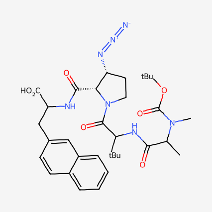 CC(C(=O)NC(C(=O)N1CC[C@@H](N=[N+]=[N-])[C@H]1C(=O)NC(Cc1ccc2ccccc2c1)C(=O)O)C(C)(C)C)N(C)C(=O)OC(C)(C)C